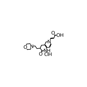 Cl.O=C(O)/C=C/N1C=CC2=C(CC(CCN3CCOCC3)C(=O)N2)C1